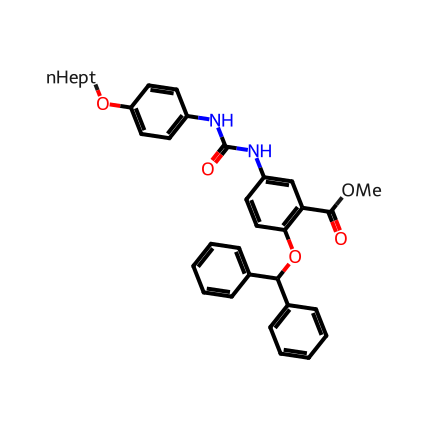 CCCCCCCOc1ccc(NC(=O)Nc2ccc(OC(c3ccccc3)c3ccccc3)c(C(=O)OC)c2)cc1